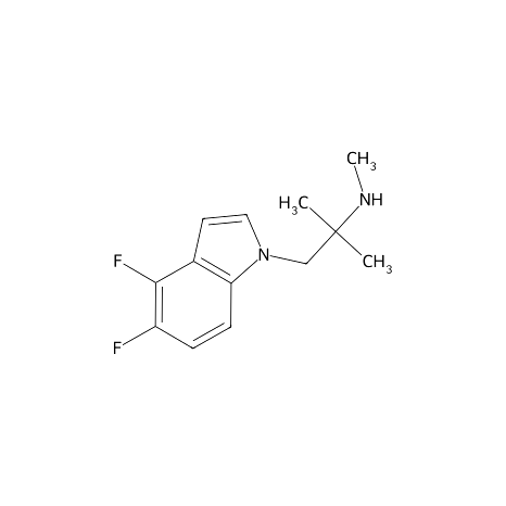 CNC(C)(C)Cn1ccc2c(F)c(F)ccc21